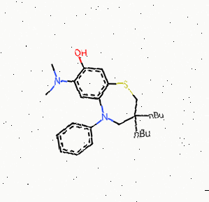 CCCCC1(CCCC)CSc2cc(O)c(N(C)C)cc2N(c2ccccc2)C1